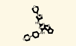 c1nn(C2CCOCC2)cc1Nc1nc(N[C@H]2CC[C@H](N3CCOCC3)CC2)c2c3c(sc2n1)CCC3